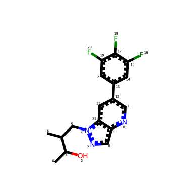 CC(O)C(C)Cn1ncc2ncc(-c3cc(F)c(F)c(F)c3)cc21